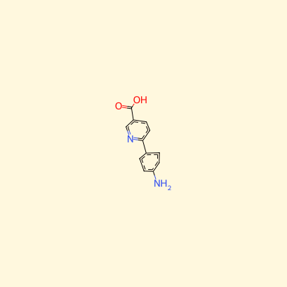 Nc1ccc(-c2ccc(C(=O)O)cn2)cc1